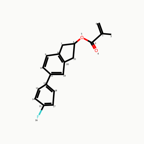 C=C(C)C(=O)OC1Cc2ccc(-c3ccc(F)cc3)cc2C1